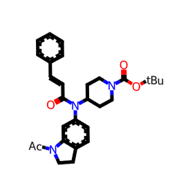 CC(=O)N1CCc2ccc(N(C(=O)/C=C/c3ccccc3)C3CCN(C(=O)OC(C)(C)C)CC3)cc21